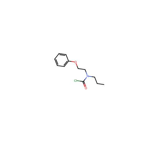 CCCN(CCOc1ccccc1)C(=O)Cl